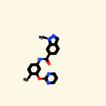 Cc1ccc(NC(=O)c2ccc3cnn(C)c3c2)cc1Oc1ncccn1